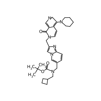 CC(C)(C)OC(=O)N(Cc1ccc2nc(Cn3ccc4c(N5CCCCC5)cncc4c3=O)cn2c1)CC1CCC1